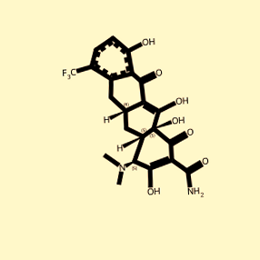 CN(C)[C@@H]1C(O)=C(C(N)=O)C(=O)[C@@]2(O)C(O)=C3C(=O)c4c(O)ccc(C(F)(F)F)c4C[C@H]3C[C@@H]12